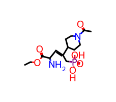 CCOC(=O)C(N)C=C(CP(=O)(O)O)C1CCN(C(C)=O)CC1